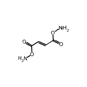 NOC(=O)/C=C/C(=O)ON